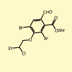 CCC(Cl)COc1c(Br)cc(C=O)c(C(=O)OC)c1Br